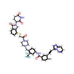 Cc1ccc(C(=O)Nc2ccc(CN3CCN(C(=O)CSc4cccc5c4CN(C4CCC(=O)NC4=O)C5=O)CC3)c(C(F)(F)F)c2)cc1C#Cc1cnc2cccnn12